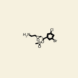 CS(=O)(=O)O[C@H](COCCN)c1cc(Cl)cc(Br)c1